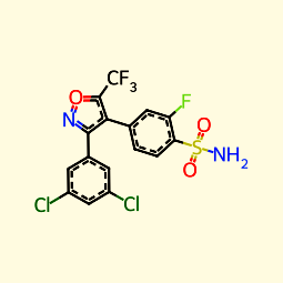 NS(=O)(=O)c1ccc(-c2c(-c3cc(Cl)cc(Cl)c3)noc2C(F)(F)F)cc1F